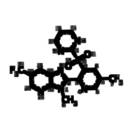 Cn1c(-c2ncc(C(F)(F)F)cc2S(=O)(=O)c2ncccn2)nc2cc(C(F)(F)F)cnc21